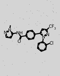 Cn1nccc1NC(=O)c1ccc(-c2cc(C(F)(F)F)nn2-c2ccccc2Cl)cc1